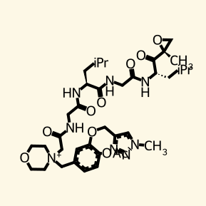 CC(=O)Oc1ccc(C[N+]2(CC(=O)NCC(=O)N[C@@H](CC(C)C)C(=O)NCC(=O)N[C@@H](CC(C)C)C(=O)[C@@]3(C)CO3)CCOCC2)cc1OCc1cn(C)nn1